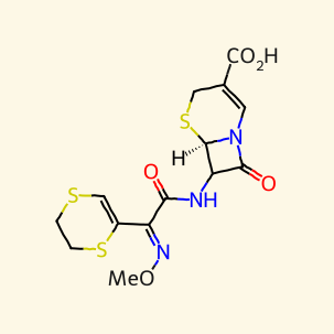 CON=C(C(=O)NC1C(=O)N2C=C(C(=O)O)CS[C@H]12)C1=CSCCS1